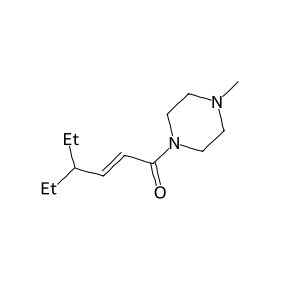 CCC(/C=C/C(=O)N1CCN(C)CC1)CC